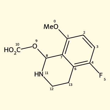 COc1ccc(F)c2c1C(OC(=O)O)NCC2